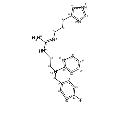 NC(=NCCCc1c[nH]cn1)NCCN(Cc1ccc(F)cc1)c1ccccn1